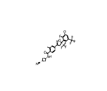 Cc1cc(C2=NO[C@](c3cc(C(F)(F)F)cc(Cl)c3F)(C(F)(F)F)C2)ccc1C(=O)N[C@H]1C[C@@H](C#N)C1